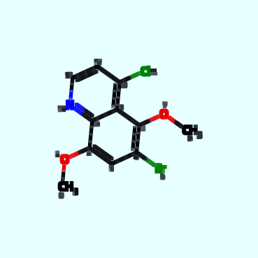 COc1cc(Br)c(OC)c2c(Cl)ccnc12